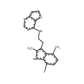 Cc1[nH]c2c(F)ccc(C)c2c1CCNc1ncnc2ccsc12